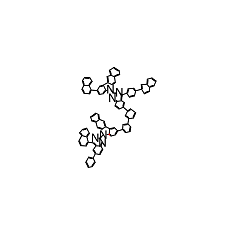 c1ccc(-c2ccc3nc(-n4c5ccc(-c6cccc(-c7cccc(-c8ccc9nc(-n%10c%11ccc(-c%12cccc%13ccccc%12%13)cc%11c%11cc%12ccccc%12cc%11%10)nc(-c%10ccc(-c%11ccc%12ccccc%12c%11)cc%10)c9c8)c7)c6)cc5c5cc6ccccc6cc54)nc(-c4cccc5ccccc45)c3c2)cc1